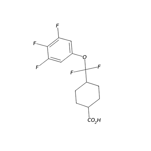 O=C(O)C1CCC(C(F)(F)Oc2cc(F)c(F)c(F)c2)CC1